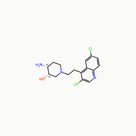 N[C@@H]1CCN(CCc2c(Cl)cnc3ccc(Cl)cc23)C[C@@H]1O